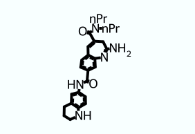 CCCN(CCC)C(=O)C1=Cc2ccc(C(=O)Nc3ccc4c(c3)CCCN4)cc2N=C(N)C1